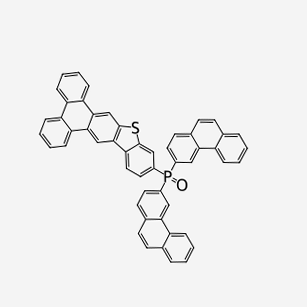 O=P(c1ccc2c(c1)sc1cc3c4ccccc4c4ccccc4c3cc12)(c1ccc2ccc3ccccc3c2c1)c1ccc2ccc3ccccc3c2c1